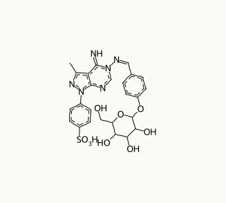 Cc1nn(-c2ccc(S(=O)(=O)O)cc2)c2ncn(/N=C\c3ccc(OC4OC(CO)C(O)C(O)C4O)cc3)c(=N)c12